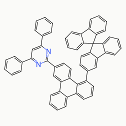 c1ccc(-c2cc(-c3ccccc3)nc(-c3ccc4c(c3)c3ccccc3c3cccc(-c5ccc6c(c5)-c5ccccc5C65c6ccccc6-c6ccccc65)c34)n2)cc1